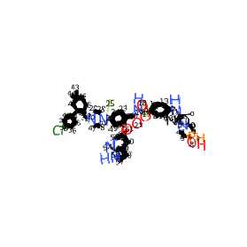 C[C@@H](CN1CC[PH](C)(O)CC1)Nc1ccc(S(=O)(=O)NC(=O)c2cc(F)c(N3CCN(CC4=C(c5ccc(Cl)cc5)CC(C)(C)CC4)CC3)cc2Oc2cnc3[nH]ccc3c2)cc1[N+](=O)[O-]